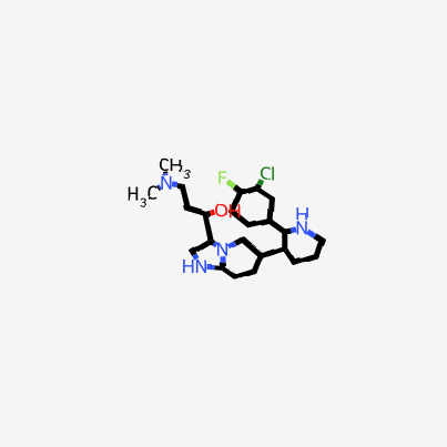 CN(C)CCC(O)C1CNC2CCC(C3CCCNC3C3CCC(F)C(Cl)C3)CN21